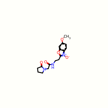 COc1ccc2c(c1)oc(CCNC(=O)CN1CCCC1=O)[n+]2[O-]